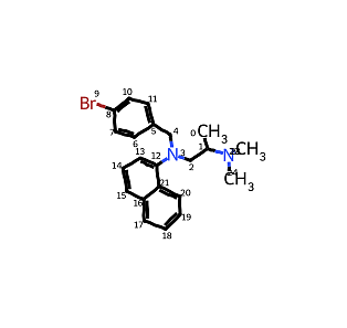 CC(CN(Cc1ccc(Br)cc1)c1cccc2ccccc12)N(C)C